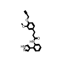 C#CCOc1ccc(CCC(=O)Nc2ccccc2-c2cn[nH]c2)cc1OC